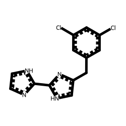 Clc1cc(Cl)cc(Cc2c[nH]c(-c3ncc[nH]3)n2)c1